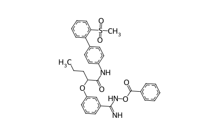 CCCC(Oc1cccc(C(=N)NOC(=O)c2ccccc2)c1)C(=O)Nc1ccc(-c2ccccc2S(C)(=O)=O)cc1